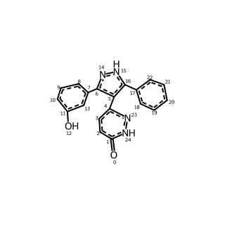 O=c1ccc(-c2c(-c3cccc(O)c3)n[nH]c2-c2ccccc2)n[nH]1